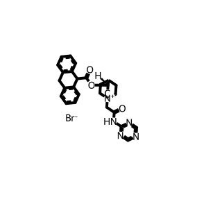 O=C(C[N+]12CCC(CC1)[C@@H](OC(=O)C1c3ccccc3Cc3ccccc31)C2)Nc1ncncn1.[Br-]